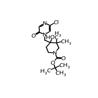 CC(C)(C)OC(=O)N1CCC(O)(Cn2cc(Cl)ncc2=O)C(C)(C)C1